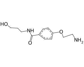 NCCOc1ccc(C(=O)NCCCO)cc1